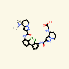 CN(C)[C@H]1CCCn2nc(C(=O)Nc3cccc(-c4cccc(NC(=O)c5cc6n(n5)CCC[C@@H]6NCC(=O)O)c4Cl)c3Cl)cc21